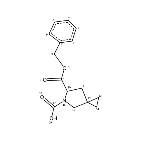 O=C(OCc1ccccc1)C1CC2(CC2)CN1C(=O)O